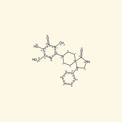 Cn1c(N2CCC3(CC2)C(=O)NCN3c2ccccc2)nc(C(=O)O)c(O)c1=O